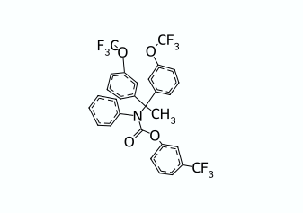 CC(c1cccc(OC(F)(F)F)c1)(c1cccc(OC(F)(F)F)c1)N(C(=O)Oc1cccc(C(F)(F)F)c1)c1ccccc1